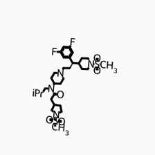 CC(C)CN(C(=O)CC1CCN(S(C)(=O)=O)C1)C1CCN(CC[C@@H](c2cc(F)cc(F)c2)C2CCN(S(C)(=O)=O)CC2)CC1